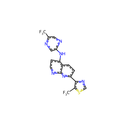 FC(F)(F)c1cnc(Nc2ccnc3nc(-c4ncsc4C(F)(F)F)ccc23)cn1